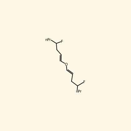 CCCC(F)CC=COC=CCC(F)CCC